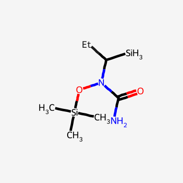 CCC([SiH3])N(O[Si](C)(C)C)C(N)=O